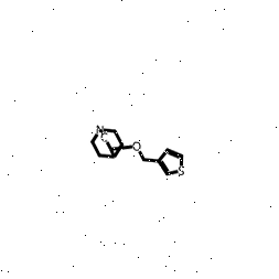 c1cc(COC2CN3CCC2CC3)cs1